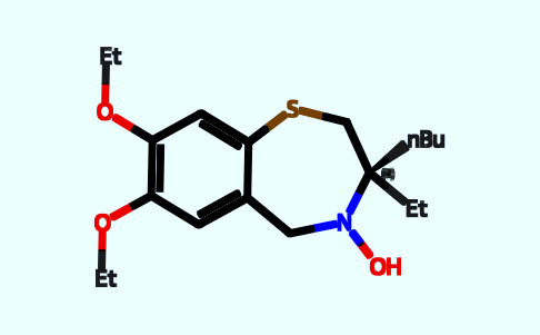 CCCC[C@]1(CC)CSc2cc(OCC)c(OCC)cc2CN1O